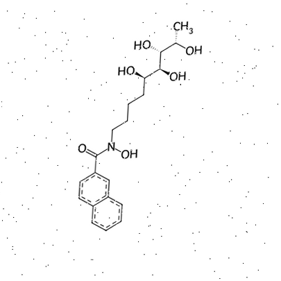 C[C@H](O)[C@@H](O)[C@@H](O)[C@H](O)CCCCN(O)C(=O)c1ccc2ccccc2c1